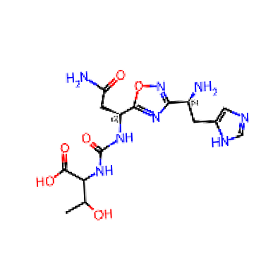 CC(O)C(NC(=O)N[C@@H](CC(N)=O)c1nc([C@@H](N)Cc2cnc[nH]2)no1)C(=O)O